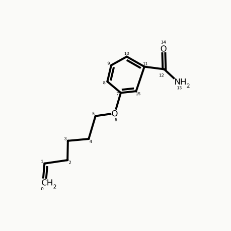 C=CCCCCOc1cccc(C(N)=O)c1